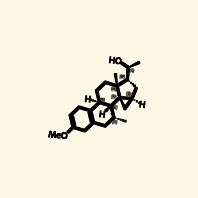 COC1=CCC2=C(C1)C[C@@H](C)[C@@H]1[C@@H]2CC[C@]2(C)[C@H]([C@H](C)O)C[C@H]3C[C@@]312